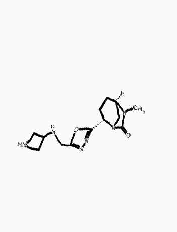 CN1C(=O)N2C[C@H]1CC[C@H]2c1nnc(CNC2CNC2)o1